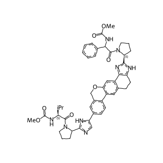 COC(=O)NC(C(=O)N1CCC[C@H]1c1nc2c([nH]1)CCc1cc3c(cc1-2)OCc1cc(-c2cnc(C4CCCN4C(=O)[C@@H](NC(=O)OC)C(C)C)[nH]2)ccc1-3)c1ccccc1